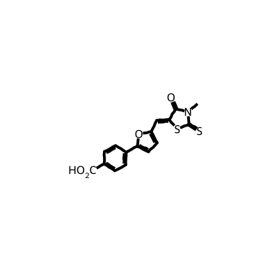 CN1C(=O)C(=Cc2ccc(-c3ccc(C(=O)O)cc3)o2)SC1=S